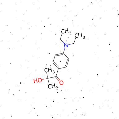 CCN(CC)c1ccc(C(=O)C(C)(C)O)cc1